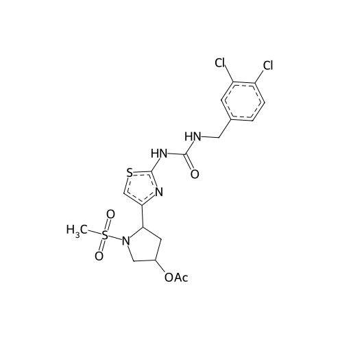 CC(=O)OC1CC(c2csc(NC(=O)NCc3ccc(Cl)c(Cl)c3)n2)N(S(C)(=O)=O)C1